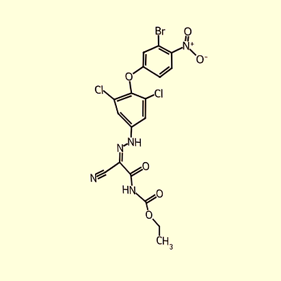 CCOC(=O)NC(=O)C(C#N)=NNc1cc(Cl)c(Oc2ccc([N+](=O)[O-])c(Br)c2)c(Cl)c1